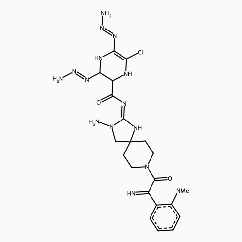 CNc1ccccc1C(=N)C(=O)N1CCC2(CC1)CN(N)/C(=N\C(=O)C1NC(Cl)=C(N=NN)NC1N=NN)N2